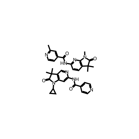 CC1(C)C(=O)N(C2CC2)c2cc(NC(=O)c3ccncc3)ncc21.Cc1cc(C(=O)Nc2ccc3c(n2)N(C)C(=O)C3(C)C)ccn1